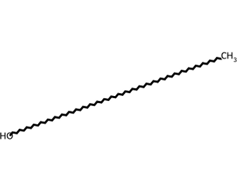 CCCCCCCCCCCCCCCCCCCCCCCCCCCCCCCCCCCCCCCCCCCCCCCCCCCCCCCCCCCCCO